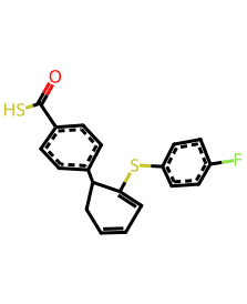 O=C(S)c1ccc(C2CC=CC=C2Sc2ccc(F)cc2)cc1